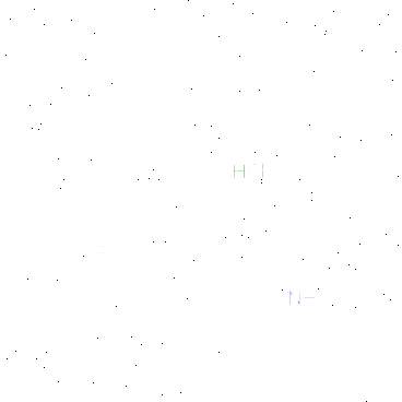 Cl.Fc1cc(Cl)ccc1C1CCCNC1